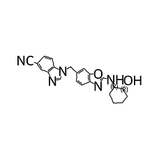 N#Cc1ccc2c(c1)ncn2Cc1ccc2nc(N[C@@H]3CCCC[C@H]3O)oc2c1